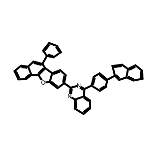 c1ccc(-c2cc3ccccc3c3oc4cc(-c5nc(-c6ccc(-c7ccc8ccccc8c7)cc6)c6ccccc6n5)ccc4c23)cc1